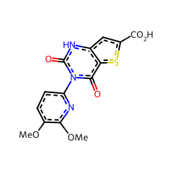 COc1ccc(-n2c(=O)[nH]c3cc(C(=O)O)sc3c2=O)nc1OC